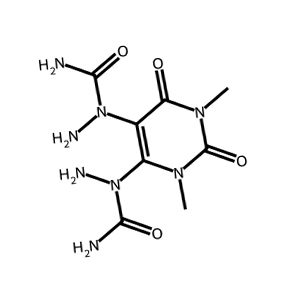 Cn1c(N(N)C(N)=O)c(N(N)C(N)=O)c(=O)n(C)c1=O